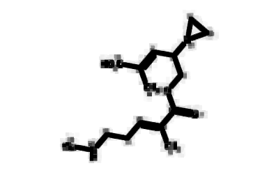 CC(=CC(COC(=O)C(C)=CCCNC(C)(C)C)N1CC1)C(=O)O